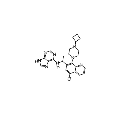 CC(Nc1ncnc2[nH]cnc12)c1cc(Cl)c2cccnc2c1N1CCN(C2CCC2)CC1